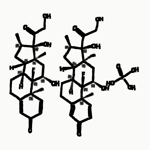 C[C@@H]1C[C@H]2[C@@H]3CCC4=CC(=O)C=C[C@]4(C)[C@@]3(F)[C@@H](O)C[C@]2(C)[C@@]1(O)C(=O)CO.C[C@@H]1C[C@H]2[C@@H]3CCC4=CC(=O)C=C[C@]4(C)[C@@]3(F)[C@@H](O)C[C@]2(C)[C@@]1(O)C(=O)CO.O=P(O)(O)O